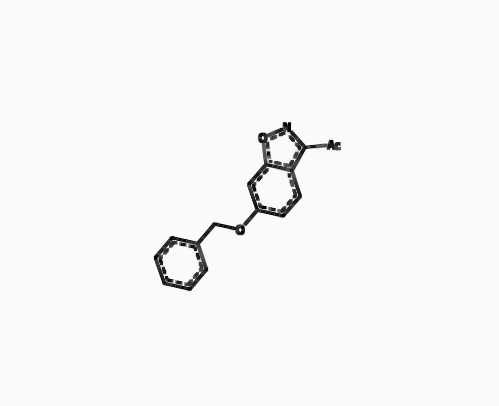 CC(=O)c1noc2cc(OCc3ccccc3)ccc12